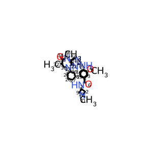 COc1cc(C(=O)NC2CN(C)C2)ccc1Nc1ncc2c(n1)N(C1CCCCC1)CC(C)C(=O)N2C